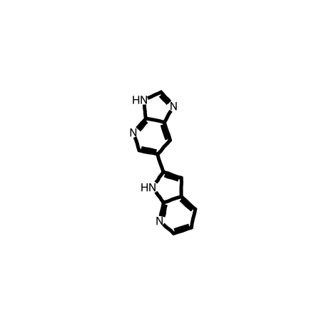 c1cnc2[nH]c(-c3cnc4[nH]cnc4c3)cc2c1